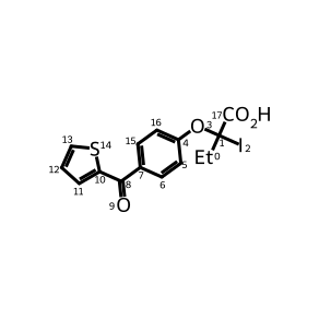 CCC(I)(Oc1ccc(C(=O)c2cccs2)cc1)C(=O)O